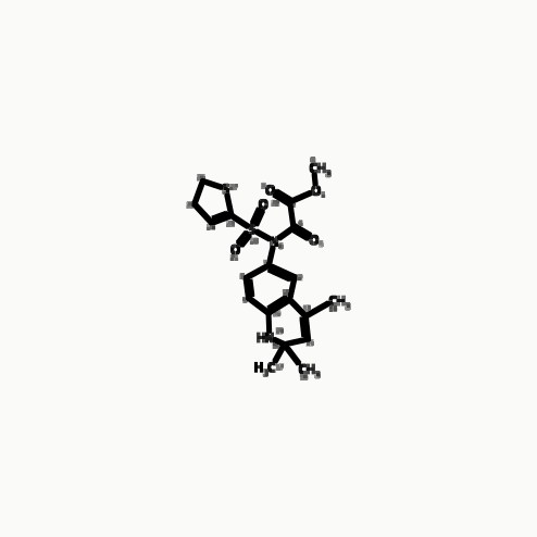 COC(=O)C(=O)N(c1ccc2c(c1)C(C)=CC(C)(C)N2)S(=O)(=O)C1=CCCS1